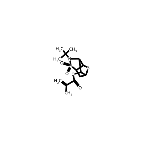 C=C(C)C(=O)OC1C2CC3C(S2)C1N(C(C)(C)C)S3(=O)=O